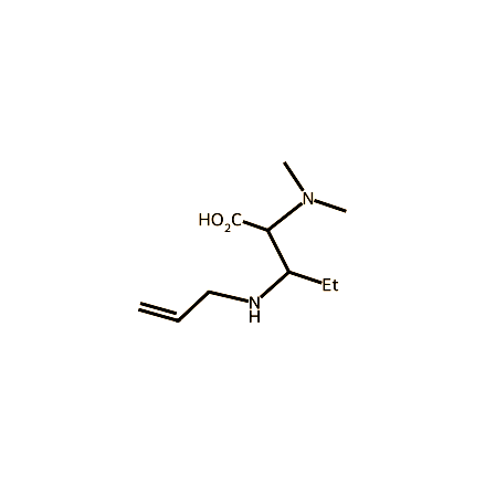 C=CCNC(CC)C(C(=O)O)N(C)C